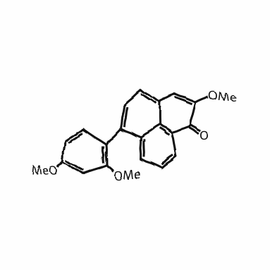 COC1=Cc2ccc(-c3ccc(OC)cc3OC)c3cccc(c23)C1=O